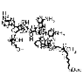 CCCCCCCCCCCCCCCCC(C)(C)C(=O)OCCSP(=O)(O)OC1[C@H](n2cnc3c(N)ncnc32)O[C@@]2(COP(O)(=S)OC3[C@@H](O)[C@@H](COP(=O)(O)OC4[C@@H](OC)[C@@H](COP(=O)(O)OCCO)O[C@H]4n4cnc5c(N)ncnc54)O[C@H]3n3cnc4c(N)ncnc43)CCCO[C@H]12